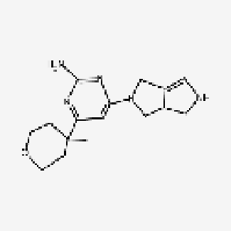 CC1(c2cc(N3CC4=CNCC4C3)nc(N)n2)CCOCC1